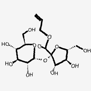 C=CCOC(Cl)[C@@]1(O[C@H]2O[C@H](CO)[C@@H](O)[C@H](O)[C@H]2O)O[C@H](CO)[C@@H](O)[C@@H]1O